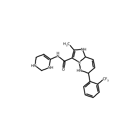 CC1=C(C(=O)NC2=CCNCN2)N2NC(c3ccccc3C(F)(F)F)C=CC2N1